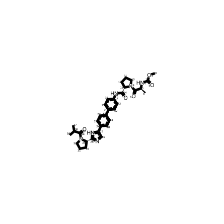 COC(=O)N[C@@H](C)C(=O)N1CCC[C@H]1C(=O)Nc1ccc(-c2ccc(-c3cnc([C@@H]4CCCN4C(=O)C(C)C)[nH]3)cc2)cc1